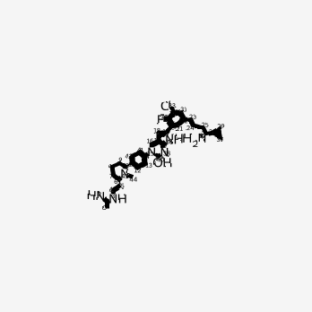 CC(=N)NCC[C@@H]1CCC[C@@H](c2ccc(N3C=c4cc(-c5cc(CCC[C@@H](N)C6CC6)cc(Cl)c5F)[nH]c4=NC3O)cc2)N1C